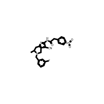 CC1Cc2sc(NC(=O)Cc3ccc([SH](=O)=O)cc3)c(C#N)c2CN1Cc1cccc(F)c1